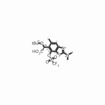 Cc1cc2nc(N(C)C)sc2c(OS(=O)(=O)C(F)(F)F)c1[C@H](OC(C)(C)C)C(=O)O